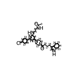 CC(=O)NCCNc1cc(N2CCN(C(=O)CCCc3c[nH]c4ccccc34)CC2)nc(-c2ccc(Cl)cc2)n1